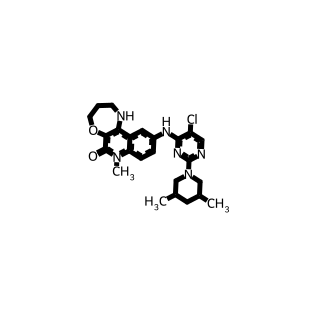 CC1CC(C)CN(c2ncc(Cl)c(Nc3ccc4c(c3)c3c(c(=O)n4C)OCCCN3)n2)C1